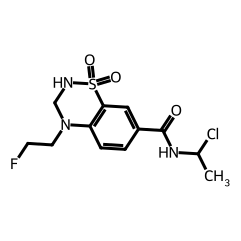 CC(Cl)NC(=O)c1ccc2c(c1)S(=O)(=O)NCN2CCF